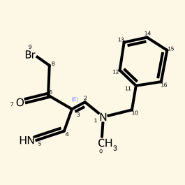 CN(/C=C(\C=N)C(=O)CBr)Cc1ccccc1